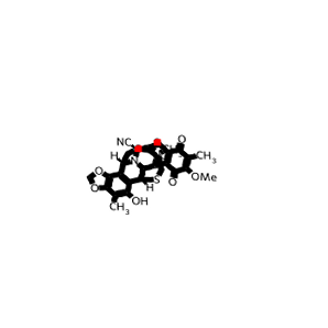 COC1=C(C)C(=O)C2=C(C1=O)C1C3[C@@H]4SCC(=O)C(=O)OC[C@@H](c5c6c(c(C)c(O)c54)OCO6)N3[C@@H](C#N)C(C2)N1C